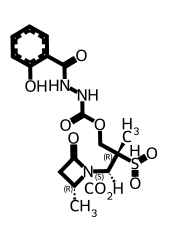 C[C@@H]1CC(=O)N1[C@@H](C(=O)O)[C@](C)(COC(=O)NNC(=O)c1ccccc1O)[SH](=O)=O